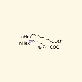 CCCCCC/C=C\CCCCCCCC(=O)[O-].CCCCCC/C=C\CCCCCCCC(=O)[O-].[Ba+2]